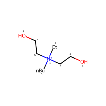 CCCC[N+](CC)(CCO)CCO